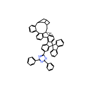 CC1CC2CC3CC(CC23)c2ccccc2-c2cccc(-c3cccc4c3-c3ccc(-c5nc(-c6ccccc6)nc(-c6ccccc6)n5)cc3C43c4ccccc4-c4ccccc43)c21